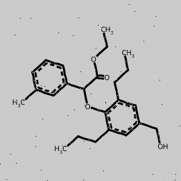 CCCc1cc(CO)cc(CCC)c1OC(C(=O)OCC)c1cccc(C)c1